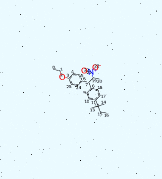 CCOc1ccc(C(c2ccc(C(C)(C)CC)cc2)C(C)[N+](=O)[O-])cc1